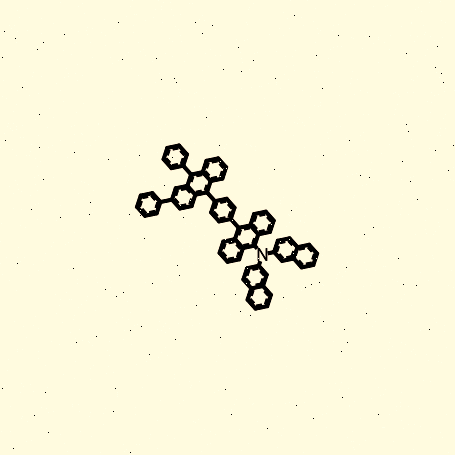 c1ccc(-c2ccc3c(-c4ccc(-c5c6ccccc6c(N(c6ccc7ccccc7c6)c6ccc7ccccc7c6)c6ccccc56)cc4)c4ccccc4c(-c4ccccc4)c3c2)cc1